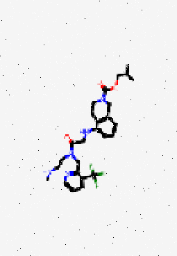 CNCCN(Cc1ncccc1C(F)(F)F)C(=O)CNc1cccc2c1CCN(C(=O)OCC(C)C)C2